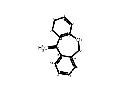 C=C1C2=C(C=CCC2)OCc2ccccc21